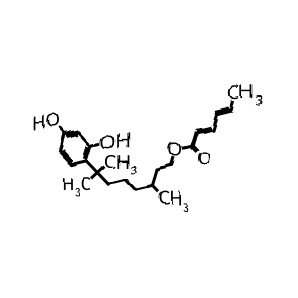 C/C=C/C=C/C(=O)OCCC(C)CCCC(C)(C)c1ccc(O)cc1O